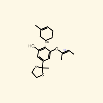 C/C=C(\C)Oc1cc(C2(C)SCCS2)cc(O)c1[C@H]1CCC=C(C)C1